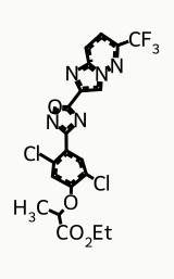 CCOC(=O)C(C)Oc1cc(Cl)c(-c2noc(-c3cn4nc(C(F)(F)F)ccc4n3)n2)cc1Cl